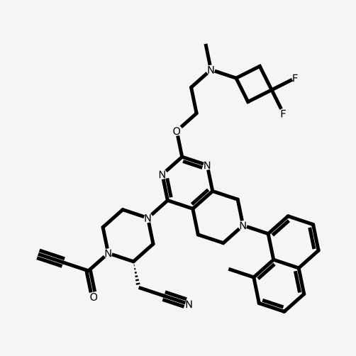 C#CC(=O)N1CCN(c2nc(OCCN(C)C3CC(F)(F)C3)nc3c2CCN(c2cccc4cccc(C)c24)C3)C[C@@H]1CC#N